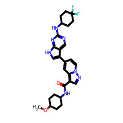 COC1CCC(NC(=O)c2cnn3ccc(-c4c[nH]c5nc(NC6CCC(F)(F)CC6)ncc45)cc23)CC1